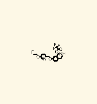 O=C(OC1NCCc2ccc(OCc3ccc(OCCF)cn3)cc21)C(F)(F)F